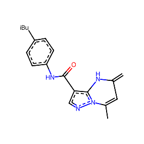 C=C1C=C(C)n2ncc(C(=O)Nc3ccc(C(C)CC)cc3)c2N1